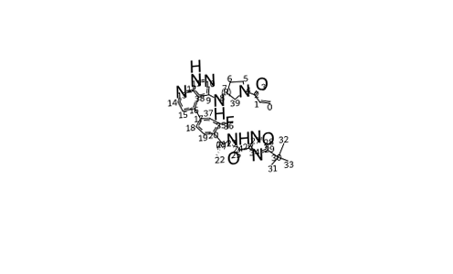 C=CC(=O)N1CC[C@@H](Nc2n[nH]c3nccc(-c4ccc([C@@H](C)NC(=O)c5noc(C(C)(C)C)n5)c(F)c4)c23)C1